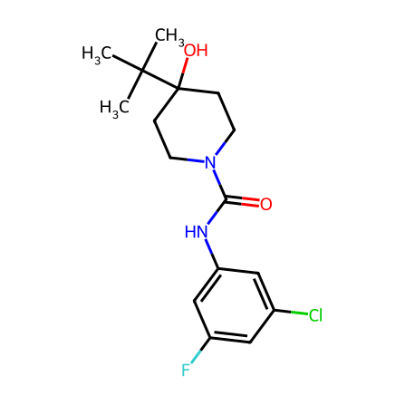 CC(C)(C)C1(O)CCN(C(=O)Nc2cc(F)cc(Cl)c2)CC1